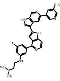 CN(C)CCNc1cc(F)cc(-c2nccc3[nH]c(-c4n[nH]c5cnc(-c6cncc(N)c6)cc45)cc23)c1